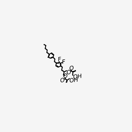 C=C(CO)C(=O)OCC(CCc1ccc(CCc2ccc(CCCCC)cc2)c(F)c1F)COC(=O)C(=C)CO